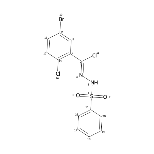 O=S(=O)(N/N=C(\Cl)c1cc(Br)ccc1Cl)c1ccccc1